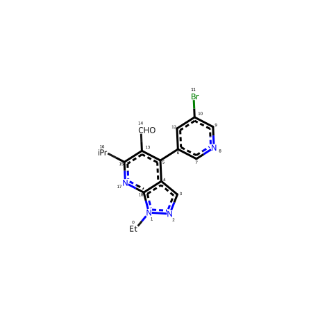 CCn1ncc2c(-c3cncc(Br)c3)c(C=O)c(C(C)C)nc21